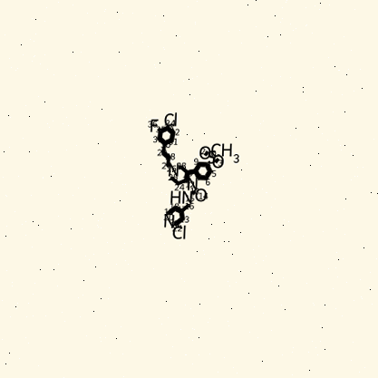 CS(=O)(=O)c1ccc2c(c1)c1c(n2C(=O)NCc2ccnc(Cl)c2)CCN(C/C=C/c2ccc(Cl)c(F)c2)C1